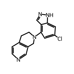 Clc1cc(N2CCc3ccncc3C2)c2cn[nH]c2c1